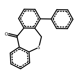 O=C1c2ccccc2SCc2c1cccc2-c1ccccc1